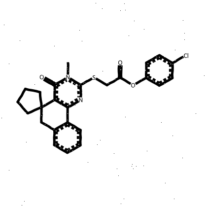 Cn1c(SCC(=O)Oc2ccc(Cl)cc2)nc2c(c1=O)C1(CCCC1)Cc1ccccc1-2